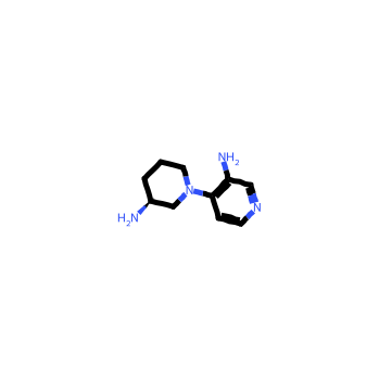 Nc1cnccc1N1CCC[C@H](N)C1